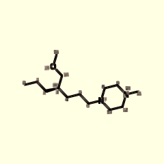 CCC[C@H](CCCN1CCN(C)CC1)COC